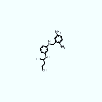 Nc1ccc(N)c(CNc2cccc(NC(O)CCO)c2)c1